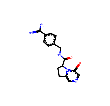 N=C(N)c1ccc(CNC(=O)C2CCc3cncc(=O)n32)cc1